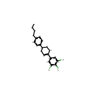 CCCCc1ccc(C2CC=C(c3cc(F)c(F)c(F)c3)CC2)cc1